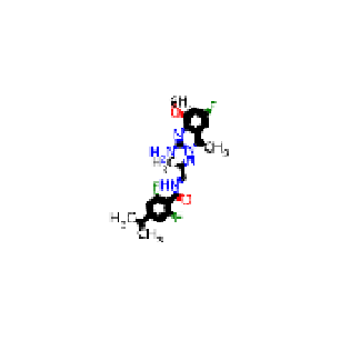 C=C1c2cc(F)cc(OC)c2N=C(N)N1/N=C(\C)CNC(=O)c1c(F)cc(C(C)C)cc1F